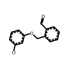 O=Cc1ccccc1COc1cccc(Cl)c1